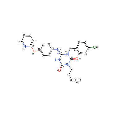 CCOC(=O)CCn1c(=O)[nH]/c(=N\c2ccc(Oc3ccccn3)cc2)n(Cc2ccc(Cl)cc2)c1=O